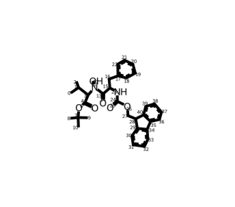 CC(C)C(C(=O)OC(C)(C)C)N(O)C(=O)C(Cc1ccccc1)NC(=O)OCC1c2ccccc2-c2ccccc21